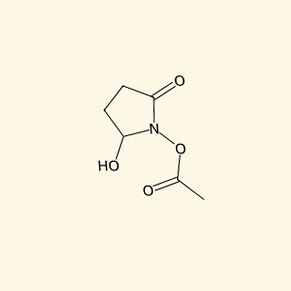 CC(=O)ON1C(=O)CCC1O